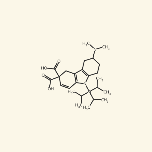 CC(C)[Si](C(C)C)(C(C)C)n1c2c(c3c1CCC(N(C)C)C3)CC(C(=O)O)(C(=O)O)C=C2